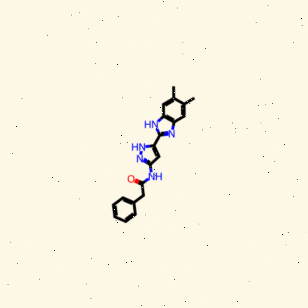 Cc1cc2nc(-c3cc(NC(=O)Cc4ccccc4)n[nH]3)[nH]c2cc1C